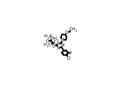 CCOC1CCN(c2nc(OC(C)(C)C(=O)OC)nc(-c3ccc(Cl)c(F)c3)n2)CC1